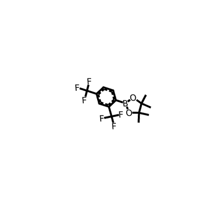 CC1(C)OB(c2ccc(C(F)(F)F)cc2C(F)(F)F)OC1(C)C